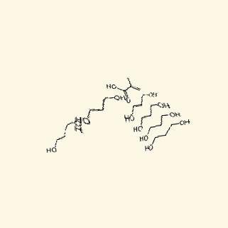 C=C(C)C(=O)O.OCCCO.OCCCO.OCCCO.OCCCO.OCCCO.OCCCO